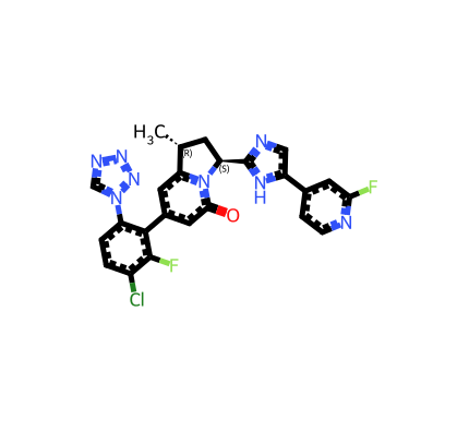 C[C@@H]1C[C@@H](c2ncc(-c3ccnc(F)c3)[nH]2)n2c1cc(-c1c(-n3cnnn3)ccc(Cl)c1F)cc2=O